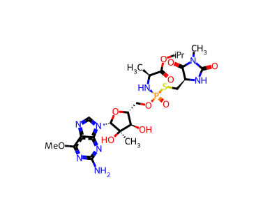 COc1nc(N)nc2c1ncn2[C@@H]1O[C@H](CO[P@](=O)(N[C@@H](C)C(=O)OC(C)C)SC[C@@H]2NC(=O)N(C)C2=O)[C@@H](O)[C@@]1(C)O